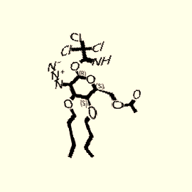 CCCCOC1C(N=[N+]=[N-])[C@@H](OC(=N)C(Cl)(Cl)Cl)O[C@@H](COC(C)=O)[C@H]1OCCCC